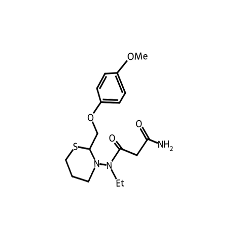 CCN(C(=O)CC(N)=O)N1CCCSC1COc1ccc(OC)cc1